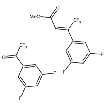 COC(=O)C=C(c1cc(F)cc(F)c1)C(F)(F)F.O=C(c1cc(F)cc(F)c1)C(F)(F)F